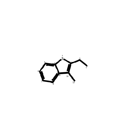 CCc1sc2ccccc2c1C